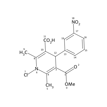 COC(=O)C1=C(C)N(Cl)C(C)=C(C(=O)O)C1c1cccc([N+](=O)[O-])c1